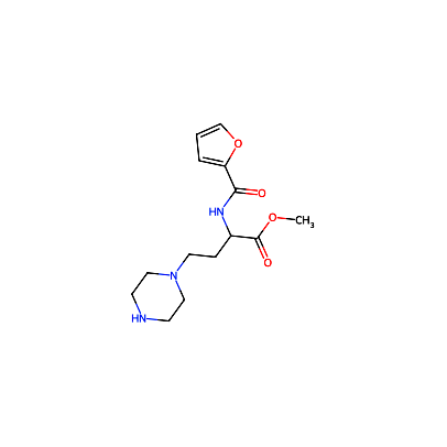 COC(=O)C(CCN1CCNCC1)NC(=O)c1ccco1